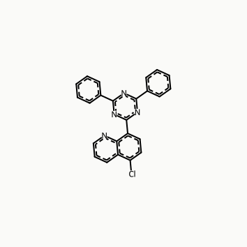 Clc1ccc(-c2nc(-c3ccccc3)nc(-c3ccccc3)n2)c2ncccc12